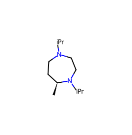 CC(C)N1CC[C@H](C)N(C(C)C)CC1